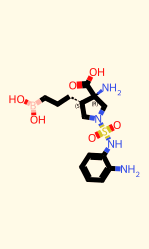 Nc1ccccc1NS(=O)(=O)N1C[C@H](CCCB(O)O)[C@](N)(C(=O)O)C1